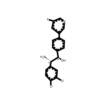 N[C@@H](c1ccc(Cl)c(Cl)c1)[C@H](O)c1ccc(-c2cncc(F)c2)cc1